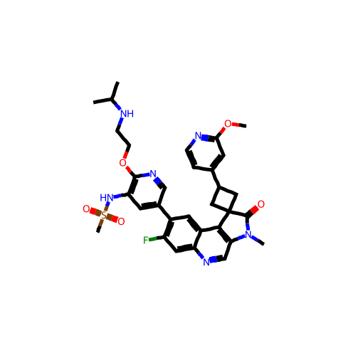 COc1cc(C2CC3(C2)C(=O)N(C)c2cnc4cc(F)c(-c5cnc(OCCNC(C)C)c(NS(C)(=O)=O)c5)cc4c23)ccn1